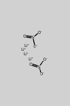 O=[Si]([O-])[O-].O=[Si]([O-])[O-].[Li+].[Li+].[Li+].[Li+]